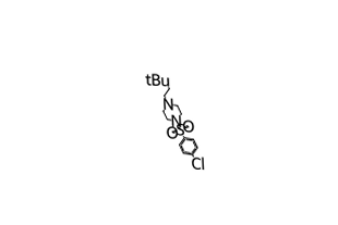 CC(C)(C)CCN1CCN(S(=O)(=O)c2ccc(Cl)cc2)CC1